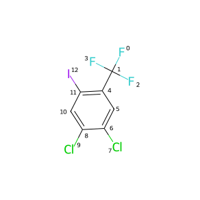 FC(F)(F)c1cc(Cl)c(Cl)cc1I